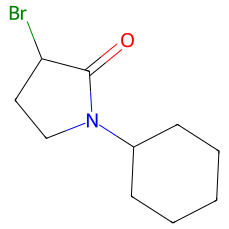 O=C1C(Br)CCN1C1CCCCC1